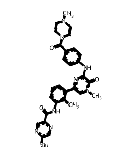 Cc1c(NC(=O)c2cnc(C(C)(C)C)cn2)cccc1-c1cn(C)c(=O)c(Nc2ccc(C(=O)N3CCN(C)CC3)cc2)n1